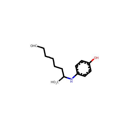 O=CCCCCCC(Nc1ccc(O)cc1)C(=O)O